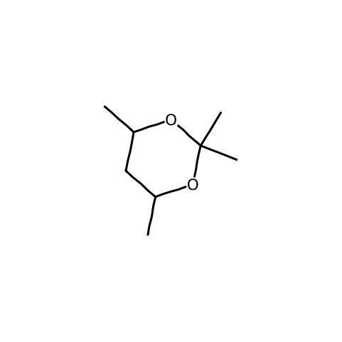 CC1CC(C)OC(C)(C)O1